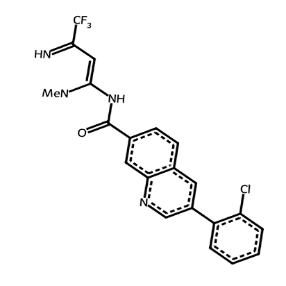 CN/C(=C\C(=N)C(F)(F)F)NC(=O)c1ccc2cc(-c3ccccc3Cl)cnc2c1